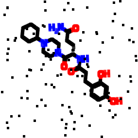 NC(=O)CC[C@H](NC(=O)CCc1ccc(O)cc1O)C(=O)N1CCN(C2CCCCC2)CC1